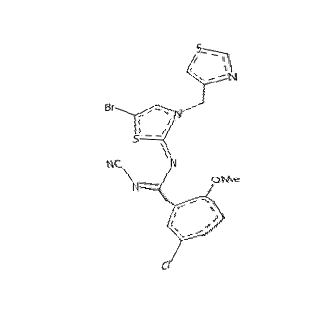 COc1ccc(Cl)cc1C(=NC#N)N=c1sc(Br)cn1Cc1cscn1